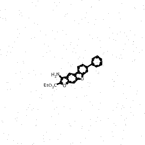 CCOC(=O)c1oc2cc3oc4cc(-c5ccccc5)ccc4c3cc2c1N